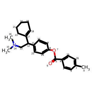 Cc1ccc(C(=O)Oc2ccc(C(CN(C)C)C3=CCCCC3)cc2)cc1